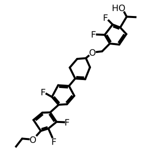 CCOc1ccc(-c2ccc(C3=CCC(OCc4ccc(C(C)O)c(F)c4F)CC3)cc2F)c(F)c1F